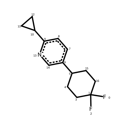 FC1(F)CCC(c2ccc(C3CC3)nc2)CC1